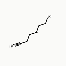 C#CCC[CH]CCC(C)C